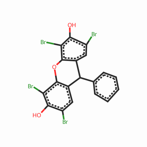 Oc1c(Br)cc2c(c1Br)Oc1c(cc(Br)c(O)c1Br)C2c1ccccc1